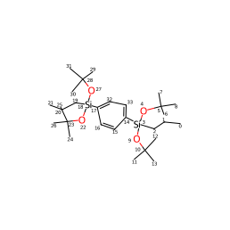 CCC[Si](OC(C)(C)C)(OC(C)(C)C)c1ccc([Si](CCC)(OC(C)(C)C)OC(C)(C)C)cc1